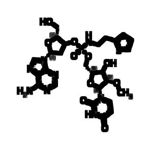 CO[C@@H]1C(O)[C@@H](COP(=O)(NCCc2cccs2)OC2C[C@H](n3cnc4c(N)ncnc43)O[C@@H]2CO)O[C@H]1n1ccc(=O)[nH]c1=O